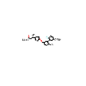 CCC[C@@H](CC(=O)OC)c1ccc(OCc2ccc(C(C)(C)C)c(-c3cc(OC)ccc3F)c2)cc1